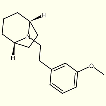 COc1cccc(CCN2[C@@H]3CCC[C@H]2CC3)c1